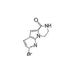 O=C1NCCn2c1cc1ccc(Br)nc12